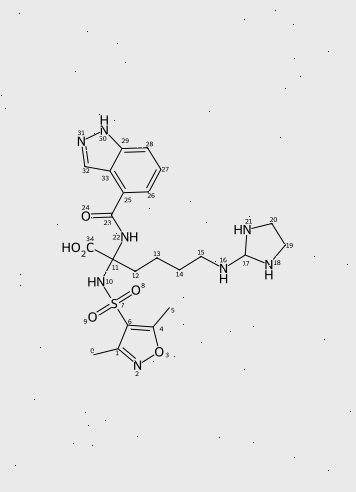 Cc1noc(C)c1S(=O)(=O)NC(CCCCNC1NCCN1)(NC(=O)c1cccc2[nH]ncc12)C(=O)O